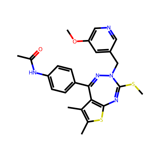 COc1cncc(CN2N=C(c3ccc(NC(C)=O)cc3)c3c(sc(C)c3C)N=C2SC)c1